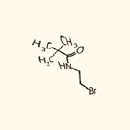 CC(C)(C)C(=O)NCCBr